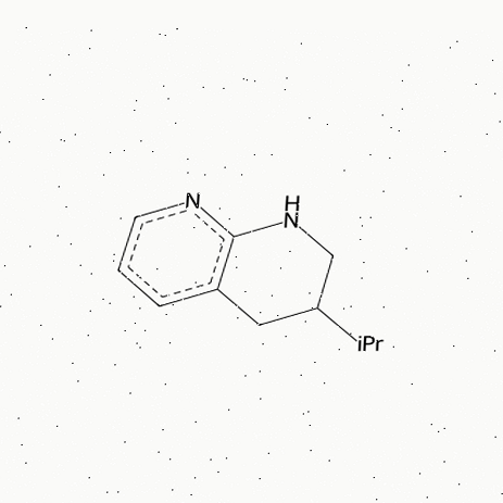 CC(C)C1CNc2ncccc2C1